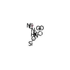 COC(=O)c1cccc2c1c(CNC1CN3CCC1CC3)nn2COCC[Si](C)(C)C